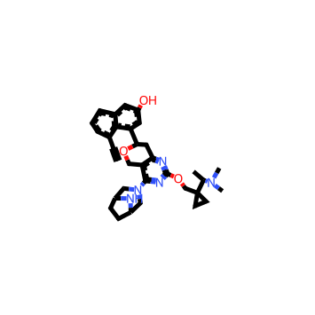 C#Cc1cccc2cc(O)cc(C3Cc4nc(OCC5(C(C)N(C)C)CC5)nc(N5CC6CCC(C5)N6)c4CO3)c12